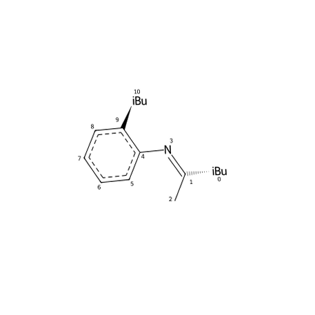 CC[C@@H](C)/C(C)=N/c1ccccc1[C@H](C)CC